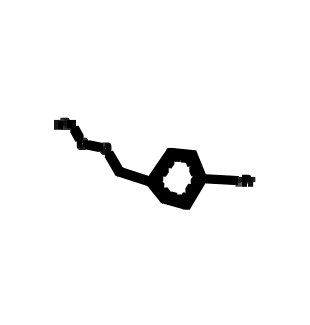 CCCCOOCc1ccc(CCC)cc1